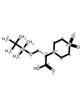 CC(C)(C)[Si](C)(C)OC[C@@H](C(=O)O)N1CCS(=O)(=O)CC1